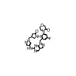 O=C1CC(Cn2cc(Nc3ncc4cnn(Cc5cc(F)cc(N6CCOCC6=O)c5)c4n3)cn2)CN1